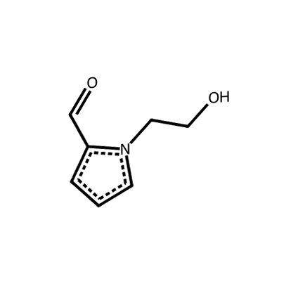 O=Cc1cccn1CCO